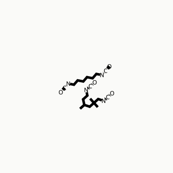 CC(CCN=C=O)CC(C)(C)CN=C=O.O=C=NCCCCCCN=C=O